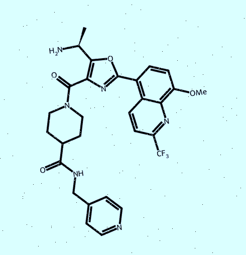 COc1ccc(-c2nc(C(=O)N3CCC(C(=O)NCc4ccncc4)CC3)c([C@H](C)N)o2)c2ccc(C(F)(F)F)nc12